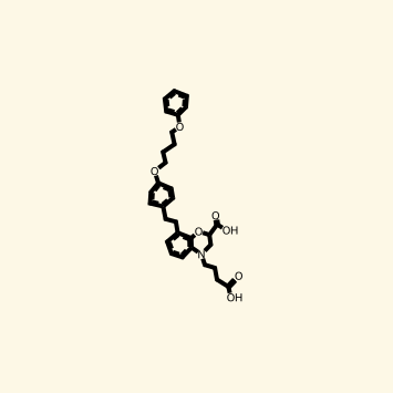 O=C(O)CCCN1CC(C(=O)O)Oc2c(CCc3ccc(OCCCCOc4ccccc4)cc3)cccc21